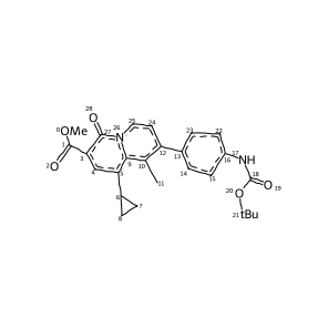 COC(=O)c1cc(C2CC2)c2c(C)c(-c3ccc(NC(=O)OC(C)(C)C)cc3)ccn2c1=O